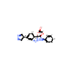 CC(=O)OC(N)(C(=O)Nc1ccccc1)c1ccc(-c2cn[nH]c2)cc1